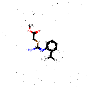 COC(=O)CS/C(N)=N\c1ccccc1C(C)C